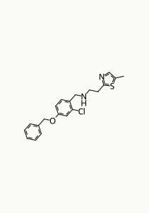 Cc1cnc(CCNCc2ccc(OCc3ccccc3)cc2Cl)s1